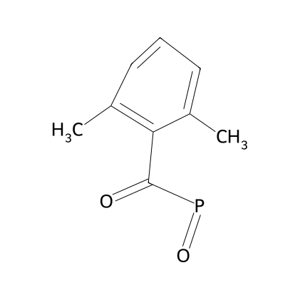 Cc1cccc(C)c1C(=O)P=O